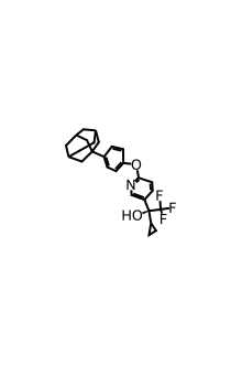 O[C@](c1ccc(Oc2ccc(C34CC5CC(CC(C5)C3)C4)cc2)nc1)(C1CC1)C(F)(F)F